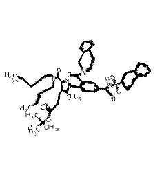 CCCCN(CCCC)C(=O)c1nn(-c2ccc(C(=O)NS(=O)(=O)c3ccc4ccccc4c3)cc2C(=O)N2CCc3ccccc3C2)c(C)c1/C=C/C(=O)OC(C)(C)C